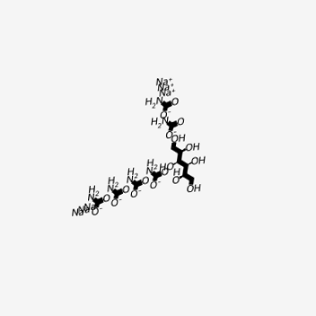 NC(=O)[O-].NC(=O)[O-].NC(=O)[O-].NC(=O)[O-].NC(=O)[O-].NC(=O)[O-].OC[C@@H](O)[C@@H](O)[C@H](O)[C@H](O)CO.[Na+].[Na+].[Na+].[Na+].[Na+].[Na+]